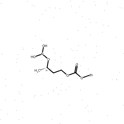 CC(C)OC(=O)OCC[C@H](C)ON(O)O